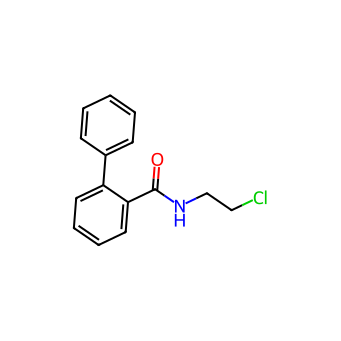 O=C(NCCCl)c1ccccc1-c1ccccc1